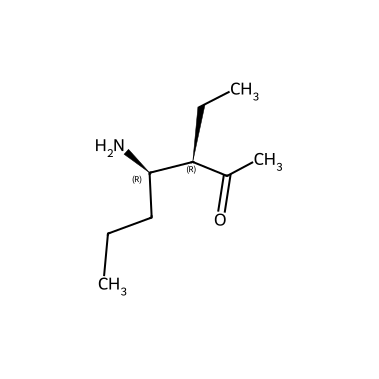 CCC[C@@H](N)[C@@H](CC)C(C)=O